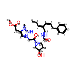 CC/C=C(\C=C/Cc1ccccc1)CNC(=O)[C@@H]1CC(O)CN1C(=O)CN1C=C(CC(=O)OC)N(C)N1